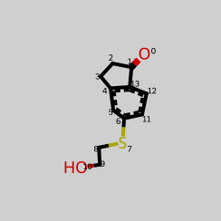 O=C1CCc2cc(SCCO)ccc21